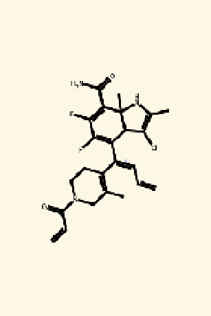 C=C/C=C(\C1=C(C)CN(C(=O)C=C)CC1)C1=C(F)C(F)=C(C(N)=O)C2(C)NC(C)=C(Cl)C12